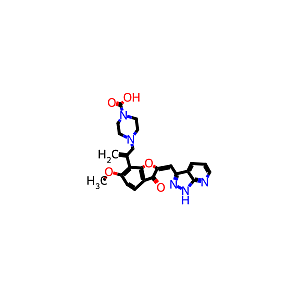 C=C(CN1CCN(C(=O)O)CC1)c1c(OC)ccc2c1OC(=Cc1n[nH]c3ncccc13)C2=O